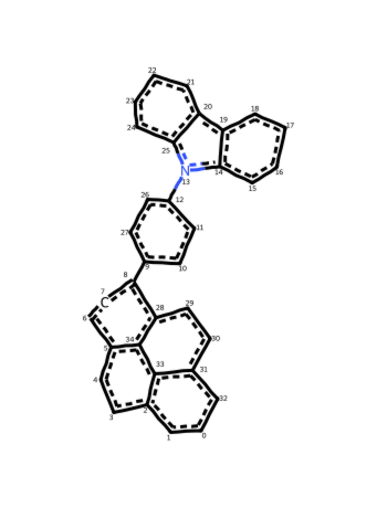 c1cc2ccc3ccc(-c4ccc(-n5c6ccccc6c6ccccc65)cc4)c4ccc(c1)c2c34